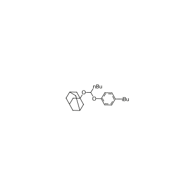 CCCCC(Oc1ccc(C(C)CC)cc1)OC12CC3CC(CC(C3)C1)C2